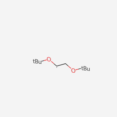 CC(C)(C)O[CH]COC(C)(C)C